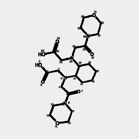 O=C(O)CN(CC(=O)N1CCOCC1)C1CCCCC1N(CC(=O)O)CC(=O)N1CCOCC1